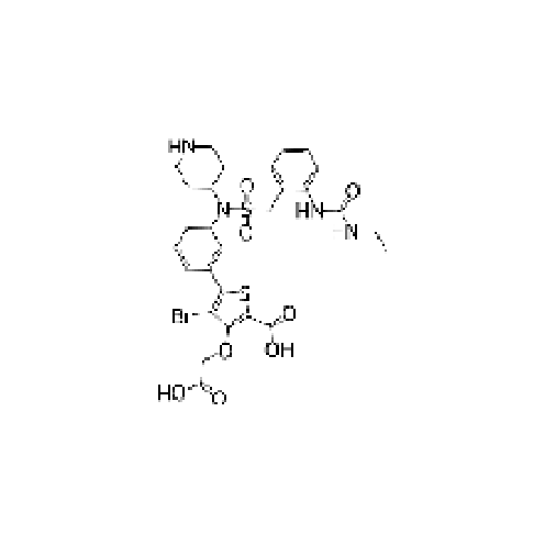 CCNC(=O)Nc1ccccc1CS(=O)(=O)N(c1cccc(-c2sc(C(=O)O)c(OCC(=O)O)c2Br)c1)C1CCNCC1